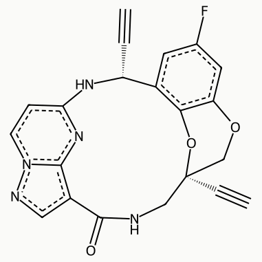 C#C[C@H]1Nc2ccn3ncc(c3n2)C(=O)NC[C@]2(C#C)COc3cc(F)cc1c3O2